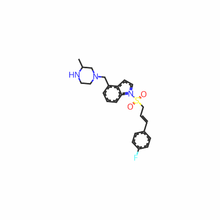 CC1CN(Cc2cccc3c2ccn3S(=O)(=O)CC=Cc2ccc(F)cc2)CCN1